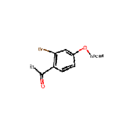 CCCCCOc1ccc(C(=O)CC)c(Br)c1